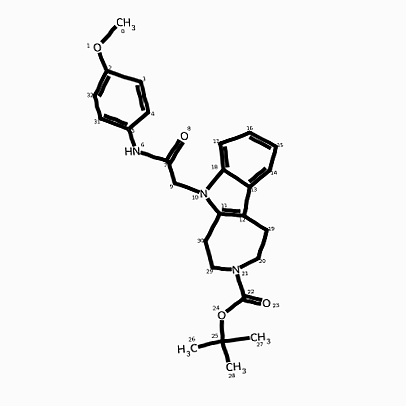 COc1ccc(NC(=O)Cn2c3c(c4ccccc42)CCN(C(=O)OC(C)(C)C)CC3)cc1